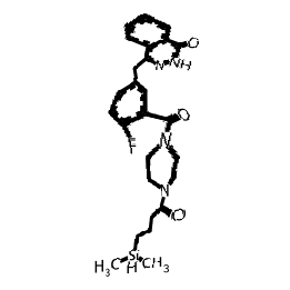 C[SiH](C)CCCC(=O)N1CCN(C(=O)c2cc(Cc3n[nH]c(=O)c4ccccc34)ccc2F)CC1